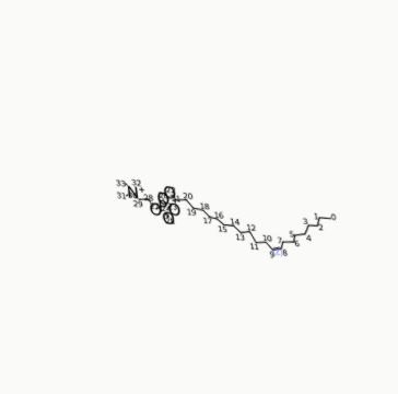 CCCCCCCC/C=C\CCCCCCCCCCCC(=O)OP(=O)([O-])OCC[N+](C)(C)C